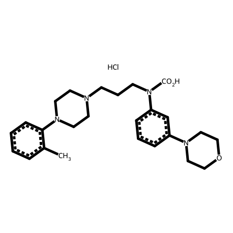 Cc1ccccc1N1CCN(CCCN(C(=O)O)c2cccc(N3CCOCC3)c2)CC1.Cl